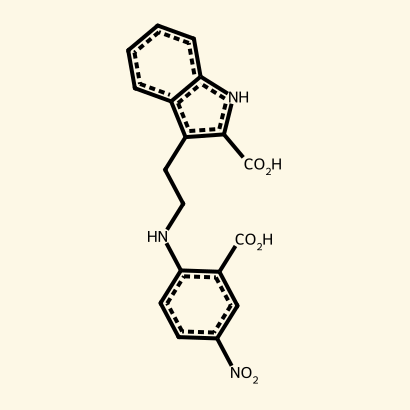 O=C(O)c1cc([N+](=O)[O-])ccc1NCCc1c(C(=O)O)[nH]c2ccccc12